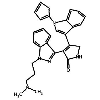 CN(C)CCCn1nc(C2=C(c3cn(-c4cccs4)c4ccccc34)CNC2=O)c2ccccc21